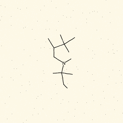 CCC(C)(C)N(C)CC(C)C(C)(C)C